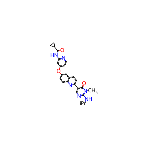 CC(C)Nc1ncc(-c2ccc3cc(Oc4ccnc(NC(=O)C5CC5)c4)ccc3n2)c(=O)n1C